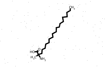 CCCCCCCCCCCCCCCCCCC(C)(N)C(=O)O